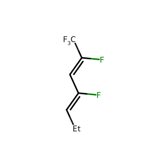 CCC=C(F)C=C(F)C(F)(F)F